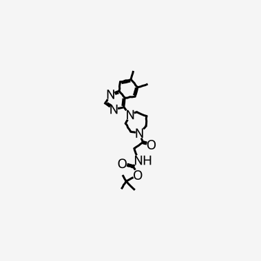 Cc1cc2ncnc(N3CCCN(C(=O)CNC(=O)OC(C)(C)C)CC3)c2cc1C